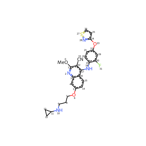 COc1nc2cc(OCCCNC3CC3)ccc2c(Nc2ccc(Oc3ccsn3)cc2F)c1C#N